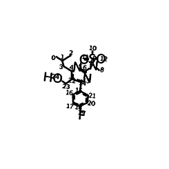 CC(C)Cc1nc(N(C)S(C)(=O)=O)nc(-c2ccc(F)cc2)c1CO